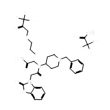 NC(=O)[C@H](CCCSCC(=O)C(F)(F)F)N(C(=O)Cn1c(=O)oc2ccccc21)C1CCN(Cc2ccccc2)CC1.O=C(O)C(F)(F)F